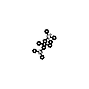 C=N/C(=N\C(=N/Cc1ccccc1)c1ccc2c(-c3ccccc3)c3cc(-c4nc(-c5ccccc5)nc(-c5ccccc5)n4)ccc3c(-c3cccc4ccccc34)c2c1)c1ccccc1